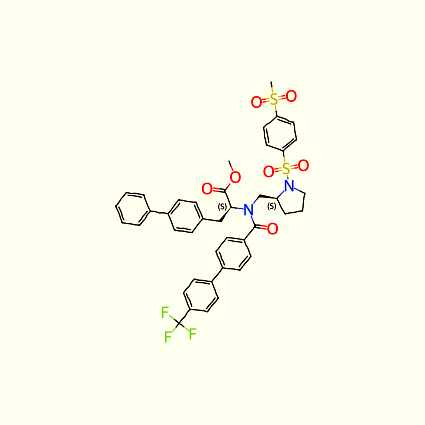 COC(=O)[C@H](Cc1ccc(-c2ccccc2)cc1)N(C[C@@H]1CCCN1S(=O)(=O)c1ccc(S(C)(=O)=O)cc1)C(=O)c1ccc(-c2ccc(C(F)(F)F)cc2)cc1